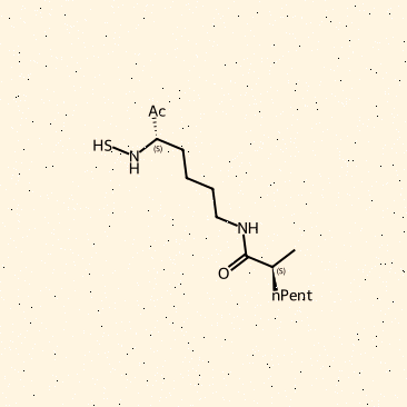 CCCCC[C@H](C)C(=O)NCCCC[C@H](NS)C(C)=O